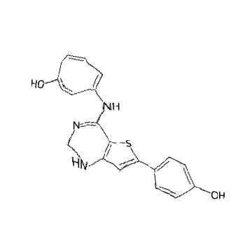 Oc1ccc(-c2cc3c(s2)C(Nc2cccc(O)c2)=NCN3)cc1